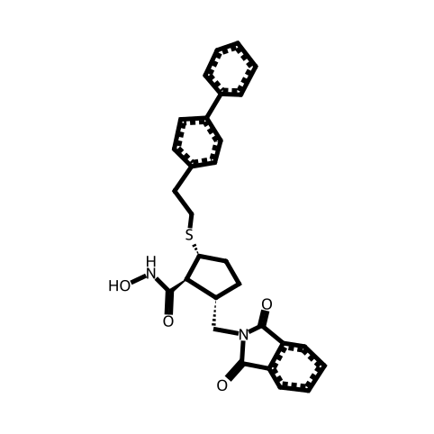 O=C(NO)[C@@H]1[C@@H](CN2C(=O)c3ccccc3C2=O)CC[C@H]1SCCc1ccc(-c2ccccc2)cc1